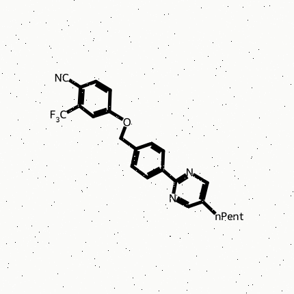 CCCCCc1cnc(-c2ccc(COc3ccc(C#N)c(C(F)(F)F)c3)cc2)nc1